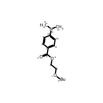 CCC(C)OCCOC(=O)c1ccc(N(C)C)cc1